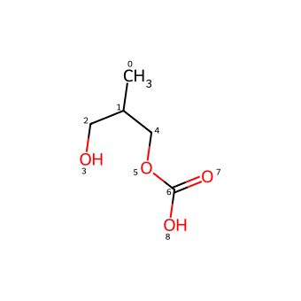 CC(CO)COC(=O)O